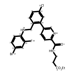 CCOC(=O)CCNC(=O)c1ccc(-c2cc(Cl)ccc2CNc2ccc(Br)cc2F)cn1